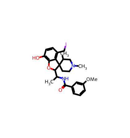 COc1cccc(C(=O)NC(C)C2Oc3c(O)ccc(CI)c3C23CCN(C)CC3C)c1